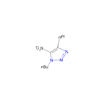 CCCCn1nnc(CCC)c1[N+](=O)[O-]